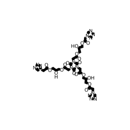 O=C(Cn1cnnn1)OCC(O)COC(=O)Cn1c(=O)n(CC(=O)OCC(O)COC(=O)Cn2cnnn2)c(=O)n(CC(=O)OCC(O)COC(=O)Cn2cnnn2)c1=O